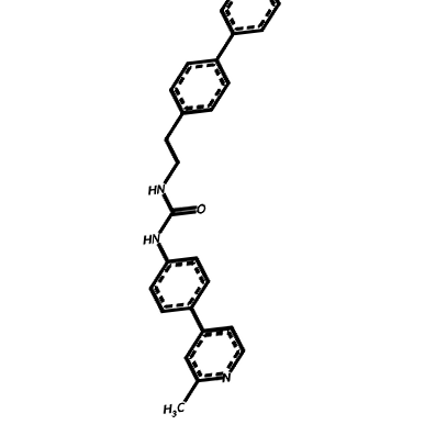 Cc1cc(-c2ccc(NC(=O)NCCc3ccc(-c4cccnc4)cc3)cc2)ccn1